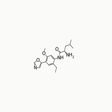 CCc1cc(-c2cnco2)c(OC)cc1NC(=O)[C@H](N)CC(C)C